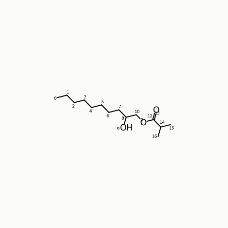 CCCCCCCCC(O)COC(=O)C(C)C